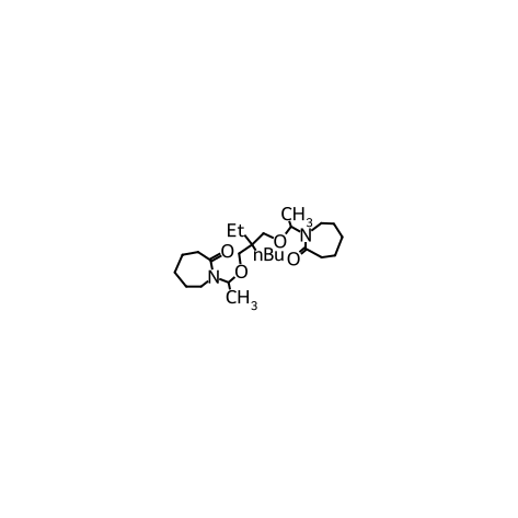 CCCCC(CC)(COC(C)N1CCCCCC1=O)COC(C)N1CCCCCC1=O